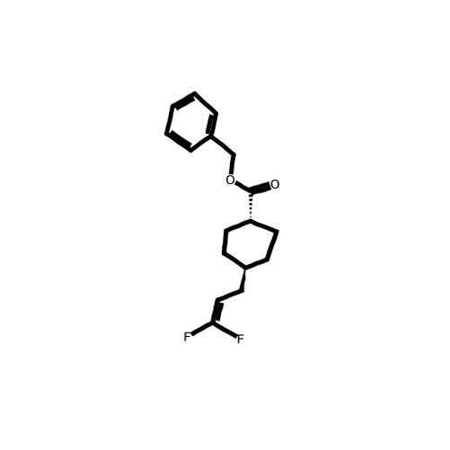 O=C(OCc1ccccc1)[C@H]1CC[C@H](CC=C(F)F)CC1